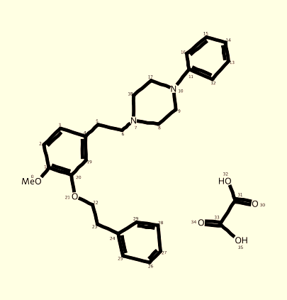 COc1ccc(CCN2CCN(c3ccccc3)CC2)cc1OCCc1ccccc1.O=C(O)C(=O)O